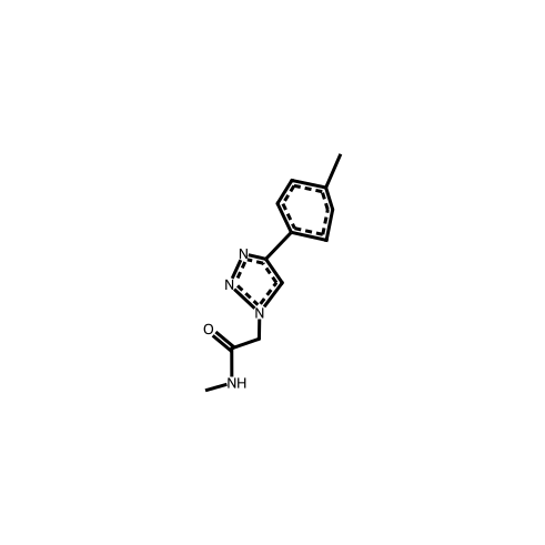 CNC(=O)Cn1cc(-c2ccc(C)cc2)nn1